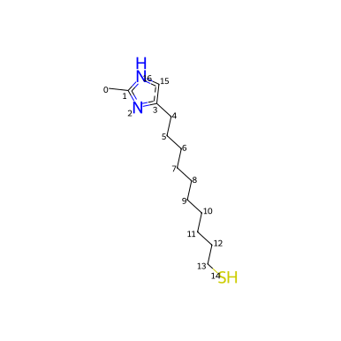 Cc1nc(CCCCCCCCCCS)c[nH]1